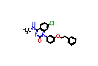 CNc1nc(=O)n(-c2cccc(OCCc3ccccc3)c2)c2cc(Cl)ccc12